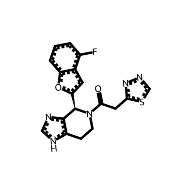 O=C(Cc1nncs1)N1CCc2[nH]cnc2[C@H]1c1cc2c(F)cccc2o1